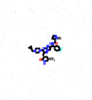 CCn1nccc1C(=O)N[C@H](c1cn2nc(C[C@H]3C[C@@H](C(F)(F)F)CNC3=O)c(N3CCN(CC4CC4)CC3)nc2n1)C1CCC(F)(F)CC1